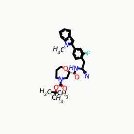 Cn1c(-c2ccc(CC(C#N)NC(=O)[C@@H]3CN(C(=O)OC(C)(C)C)CCCO3)c(F)c2)cc2ccccc21